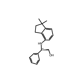 CC1(C)CCc2c(N[C@@H](CO)c3ccccc3)cccc21